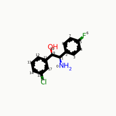 N[C@H](c1ccc(F)cc1)[C@H](O)c1cccc(Cl)c1